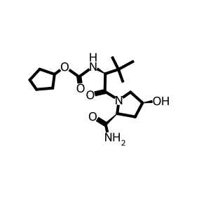 CC(C)(C)[C@H](NC(=O)OC1CCCC1)C(=O)N1C[C@@H](O)C[C@H]1C(N)=O